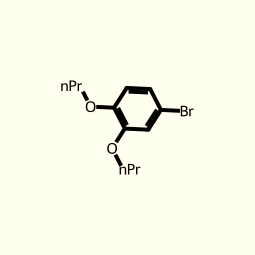 CCCOc1ccc(Br)cc1OCCC